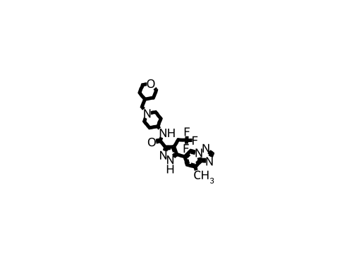 Cc1cc(-c2[nH]nc(C(=O)NC3CCN(CC4CCOCC4)CC3)c2CC(F)(F)F)cn2ncnc12